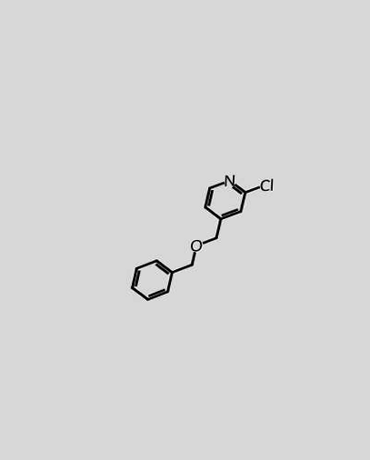 Clc1cc(COCc2ccccc2)ccn1